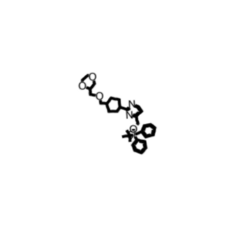 CC(C)(C)[Si](OCc1ccnc(C2CCC(COCC3COCCO3)CC2)n1)(c1ccccc1)c1ccccc1